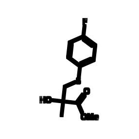 COC(=O)C(C)(O)CSc1ccc(F)cc1